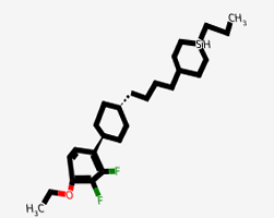 CCC[SiH]1CCC(CCCC[C@H]2CC[C@H](c3ccc(OCC)c(F)c3F)CC2)CC1